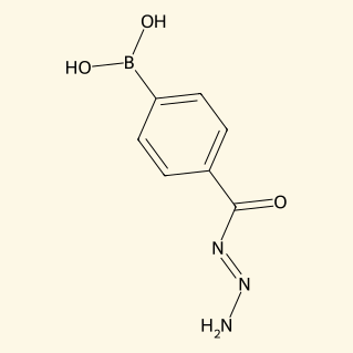 NN=NC(=O)c1ccc(B(O)O)cc1